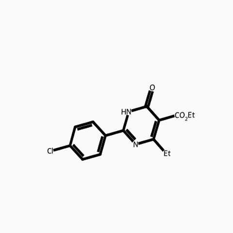 CCOC(=O)c1c(CC)nc(-c2ccc(Cl)cc2)[nH]c1=O